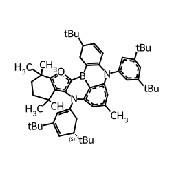 Cc1cc2c3c(c1)N(C1=CC(C(C)(C)C)=C[C@@H](C(C)(C)C)C1)c1c(oc4c1C(C)(C)CCC4(C)C)B3C1=C(C=CC(C(C)(C)C)C1)N2c1cc(C(C)(C)C)cc(C(C)(C)C)c1